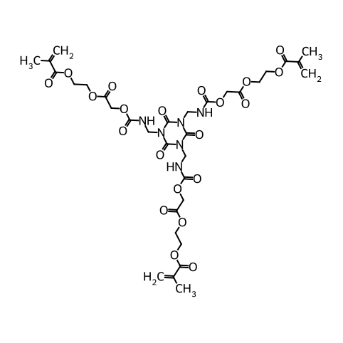 C=C(C)C(=O)OCCOC(=O)COC(=O)NCn1c(=O)n(CNC(=O)OCC(=O)OCCOC(=O)C(=C)C)c(=O)n(CNC(=O)OCC(=O)OCCOC(=O)C(=C)C)c1=O